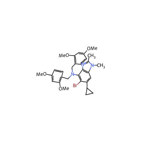 COc1ccc(CN(Cc2ccc(OC)cc2OC)c2c(Br)c(C3CC3)cc3c2nc(C)n3C)c(OC)c1